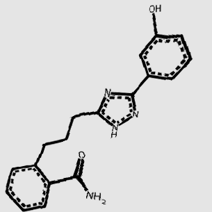 NC(=O)c1ccccc1CC[CH]c1nc(-c2cccc(O)c2)n[nH]1